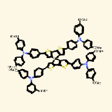 COc1ccc(N(c2ccc(OC)cc2)c2ccc(-c3cc4c(s3)-c3sc(-c5ccc(N(c6ccc(OC)cc6)c6ccc(OC)cc6)cc5)cc3[Si]43c4cc(-c5ccc(N(c6ccc(OC)cc6)c6ccc(OC)cc6)cc5)sc4-c4sc(-c5ccc(N(c6ccc(OC)cc6)c6cccc(OC)c6)cc5)cc43)cc2)cc1